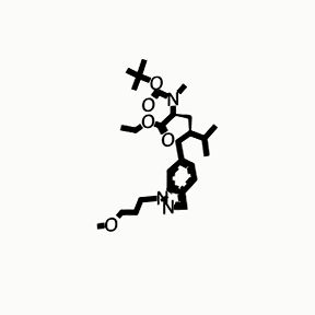 CCOC(=O)[C@H](C[C@H](Cc1ccc2cnn(CCCOC)c2c1)C(C)C)N(C)C(=O)OC(C)(C)C